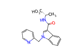 C[C@H](NC(=O)c1cn(Cc2ccccn2)c2ccccc12)C(=O)O